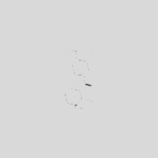 CC(C)N1CCN(C(=O)[C@H]2CCCC(F)(F)[C@@H]2N)CC1